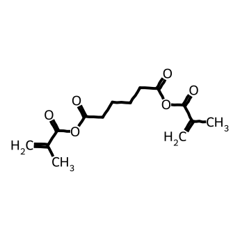 C=C(C)C(=O)OC(=O)CCCCC(=O)OC(=O)C(=C)C